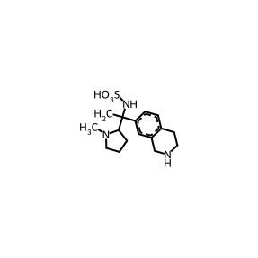 [CH2]C(NS(=O)(=O)O)(c1ccc2c(c1)CNCC2)C1CCCN1C